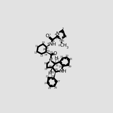 Cn1ccnc1C(=O)N[C@@H]1CCCC[C@@H]1C(=O)N1CC[C@H]2[C@H](c3ccccc3)Nc3ccccc3[C@@H]21